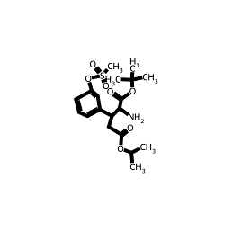 CC(C)OC(=O)CC(c1cccc(OS(C)(=O)=O)c1)C(N)C(=O)OC(C)(C)C